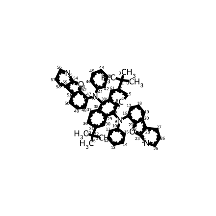 CC(C)(C)c1ccc2c(N(c3ccccc3)c3cccc4c3oc3ncccc34)c3cc(C(C)(C)C)ccc3c(N(c3ccccc3)c3cccc4c3oc3ncccc34)c2c1